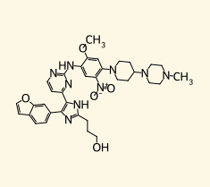 COc1cc(N2CCC(N3CCN(C)CC3)CC2)c([N+](=O)[O-])cc1Nc1nccc(-c2[nH]c(CCCO)nc2-c2ccc3ccoc3c2)n1